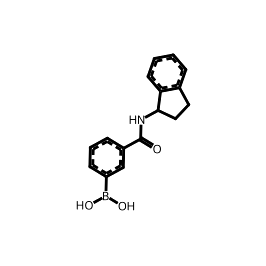 O=C(NC1CCc2ccccc21)c1cccc(B(O)O)c1